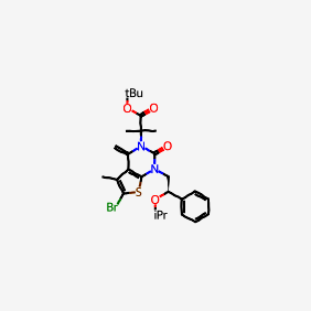 C=C1c2c(sc(Br)c2C)N(C[C@H](OC(C)C)c2ccccc2)C(=O)N1C(C)(C)C(=O)OC(C)(C)C